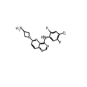 NC1CN(c2ccc3ncnc(Nc4cc(F)c(Cl)cc4F)c3n2)C1